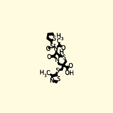 CC(=O)N(C1C(=O)N2CC(CSc3scnc3C)(C(=O)O)CS[C@H]12)[S+]([O-])c1cccs1